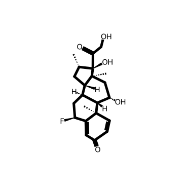 C[C@H]1C[C@H]2[C@@H]3C[C@H](F)C4=CC(=O)C=C[C@]4(C)[C@H]3[C@@H](O)C[C@]2(C)[C@@]1(O)C(=O)CO